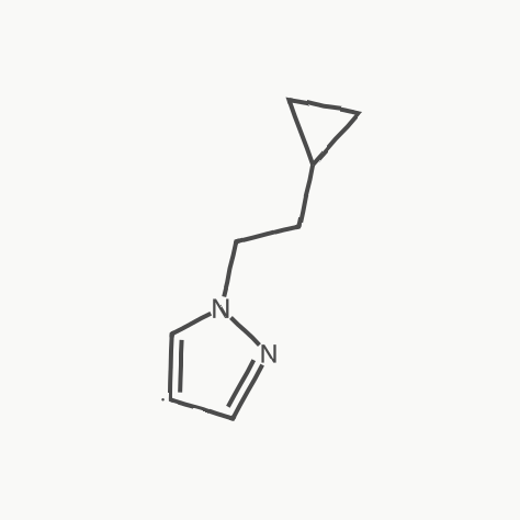 [c]1cnn(CCC2CC2)c1